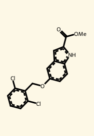 COC(=O)c1cc2cc(OCc3c(Cl)cccc3Cl)ccc2[nH]1